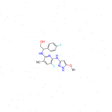 CC(C)Oc1cc(Nc2nc(NC(CO)c3ccc(F)cc3)c(C#N)cc2F)n[nH]1